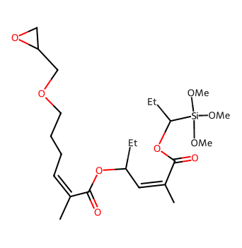 CCC(C=C(C)C(=O)OC(CC)[Si](OC)(OC)OC)OC(=O)C(C)=CCCCOCC1CO1